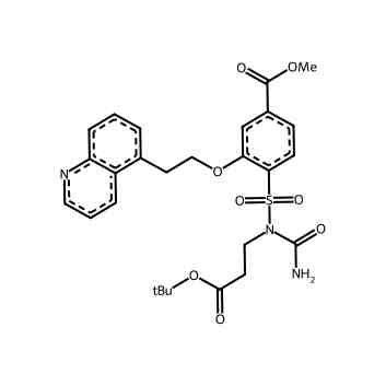 COC(=O)c1ccc(S(=O)(=O)N(CCC(=O)OC(C)(C)C)C(N)=O)c(OCCc2cccc3ncccc23)c1